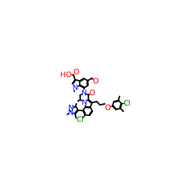 Cc1cc(OCCCc2c3n(c4c(-c5c(C)nn(C)c5C)c(Cl)ccc24)C(C)CN(c2cc(C=O)cc4c(C(=O)O)cn(C)c24)C3=O)cc(C)c1Cl